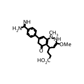 COC1=CC(CCC(=O)O)C2=C(C=C(c3ccc(C(=N)N)cc3)CC2=O)N(C)N1